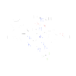 COc1ccc(Cn2nc(C(F)(F)F)nc2-c2nc3cc(C)c(-c4ccccc4)c(C)n3c2-c2cn(S(=O)(=O)N(C)C)cn2)cc1